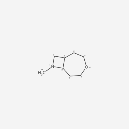 CN1CC2CCOCCC21